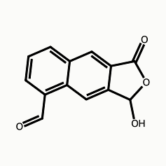 O=Cc1cccc2cc3c(cc12)C(O)OC3=O